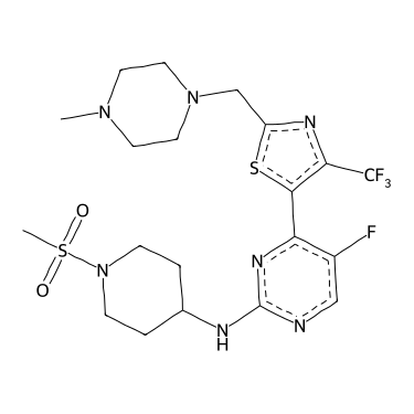 CN1CCN(Cc2nc(C(F)(F)F)c(-c3nc(NC4CCN(S(C)(=O)=O)CC4)ncc3F)s2)CC1